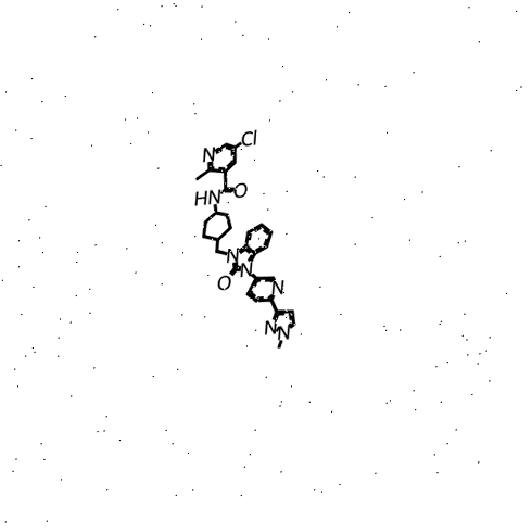 Cc1ncc(Cl)cc1C(=O)NC1CCC(Cn2c(=O)n(-c3ccc(-c4ccn(C)n4)nc3)c3ccccc32)CC1